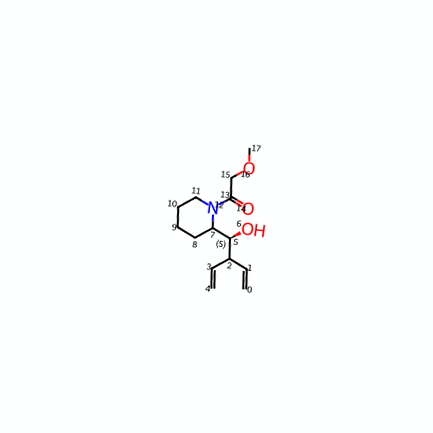 C=CC(C=C)[C@H](O)C1CCCCN1C(=O)COC